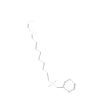 C[N+](C)(CCCCCCCCCNC[SiH3])Cc1ccccc1